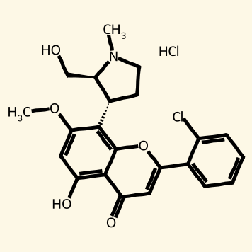 COc1cc(O)c2c(=O)cc(-c3ccccc3Cl)oc2c1[C@H]1CCN(C)[C@@H]1CO.Cl